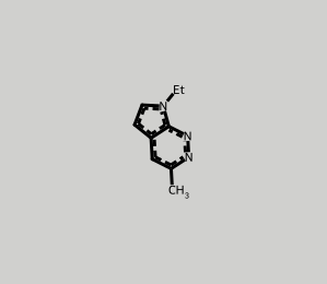 CCn1ccc2cc(C)nnc21